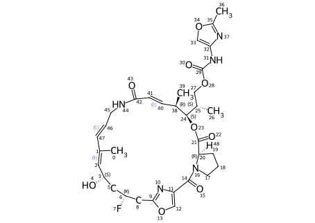 CC1=C\[C@@H](O)C[C@@H](F)Cc2nc(co2)C(=O)N2CCC[C@@H]2C(=O)O[C@H]([C@@H](C)COC(=O)Nc2coc(C)n2)[C@H](C)/C=C/C(=O)NC\C=C\1